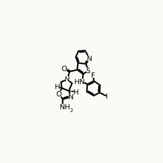 NC1=N[C@H]2CN(C(=O)c3c(Nc4ccc(I)cc4F)sc4ncccc34)C[C@H]2O1